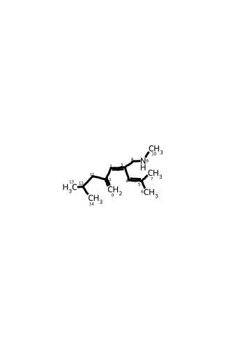 C=C(/C=C(\C=C(C)C)CNC)CC(C)C